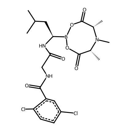 CC(C)C[C@H](NC(=O)CNC(=O)c1cc(Cl)ccc1Cl)B1OC(=O)[C@@H](C)N(C)[C@@H](C)C(=O)O1